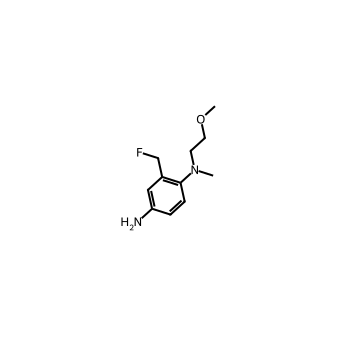 COCCN(C)c1ccc(N)cc1CF